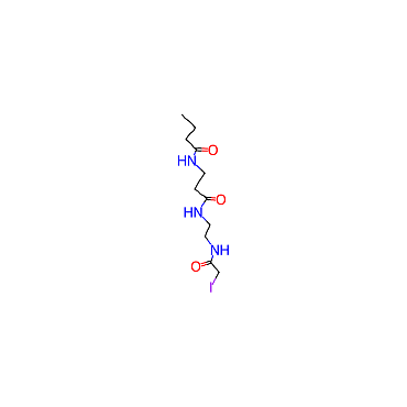 CCCC(=O)NCCC(=O)NCCNC(=O)CI